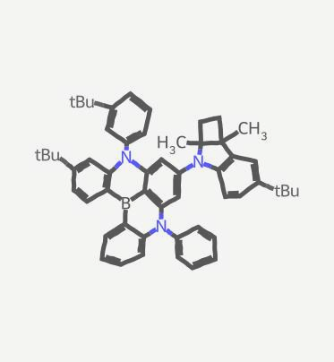 CC(C)(C)c1cccc(N2c3cc(C(C)(C)C)ccc3B3c4ccccc4N(c4ccccc4)c4cc(N5c6ccc(C(C)(C)C)cc6C6(C)CCC56C)cc2c43)c1